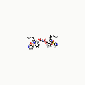 CNCc1cc(-c2ccccc2COC(=O)/C=C/C(=O)OCc2ccccc2-c2cc(CNC)cn2S(=O)(=O)c2cccnc2)n(S(=O)(=O)c2cccnc2)c1